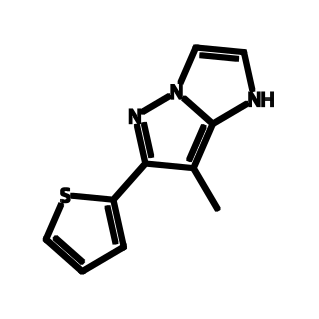 Cc1c(-c2cccs2)nn2cc[nH]c12